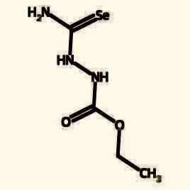 CCOC(=O)NNC(N)=[Se]